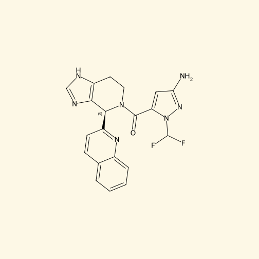 Nc1cc(C(=O)N2CCc3[nH]cnc3[C@@H]2c2ccc3ccccc3n2)n(C(F)F)n1